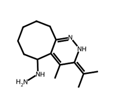 CC(C)=C1NN=C2CCCCCC(NN)C2=C1C